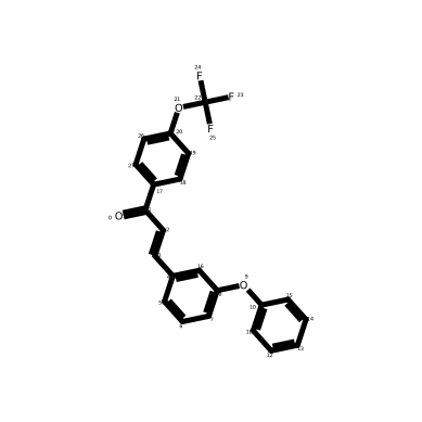 O=C(C=Cc1cccc(Oc2ccccc2)c1)c1ccc(OC(F)(F)F)cc1